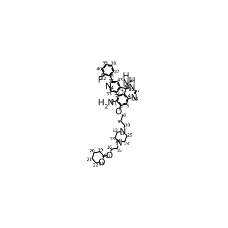 Nc1cc2c(cc1OCCCN1CCN(CCOC3CCCCO3)CC1)N=CNC2(N)c1ccnc(-c2ccccc2F)c1